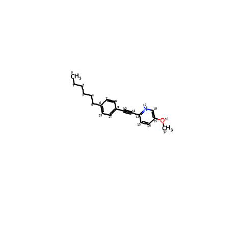 CCCCCCc1ccc(C#Cc2ccc(OC)cn2)cc1